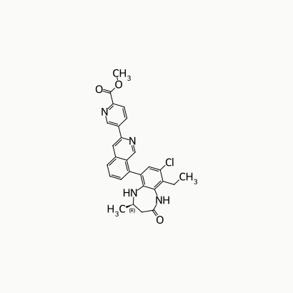 CCc1c(Cl)cc(-c2cccc3cc(-c4ccc(C(=O)OC)nc4)ncc23)c2c1NC(=O)C[C@@H](C)N2